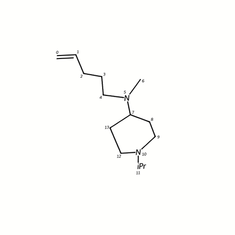 C=CCCCN(C)C1CCN(C(C)C)CC1